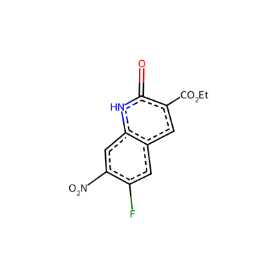 CCOC(=O)c1cc2cc(F)c([N+](=O)[O-])cc2[nH]c1=O